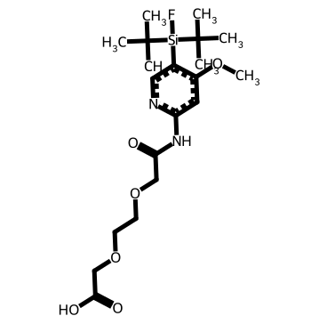 COc1cc(NC(=O)COCCOCC(=O)O)ncc1[Si](F)(C(C)(C)C)C(C)(C)C